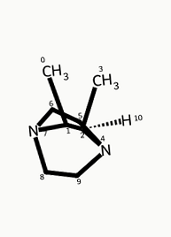 CC1[C@@H](C)N2CCN1CC2